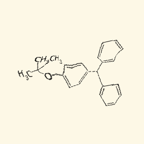 CC(C)(C)Oc1ccc(C(c2ccccc2)c2ccccc2)cc1